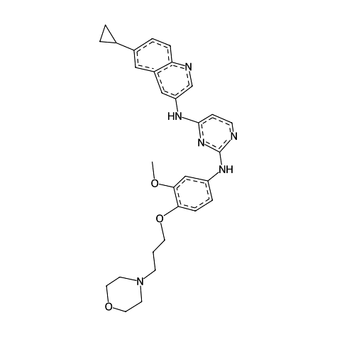 COc1cc(Nc2nccc(Nc3cnc4ccc(C5CC5)cc4c3)n2)ccc1OCCCN1CCOCC1